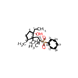 CC[C@]1(O)CCC(C)C1(C)C[C@H](C)S(=O)(=O)c1ccccc1